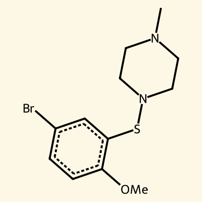 COc1ccc(Br)cc1SN1CCN(C)CC1